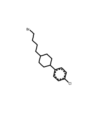 Clc1ccc(C2CCC(CCCCBr)CC2)cc1